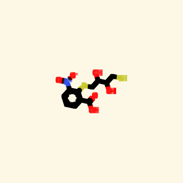 O=C(O)c1cccc([N+](=O)[O-])c1SCC(O)C(O)CS